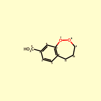 O=C(O)c1ccc2c(c1)OOCCC2